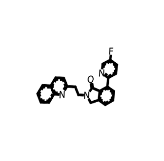 O=C1c2c(cccc2-c2ccc(F)cn2)CN1CCc1ccc2ccccc2n1